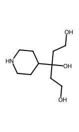 OCCC(O)(CCO)C1CCNCC1